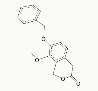 COc1c(OCc2ccccc2)ccc2c1COC(=O)C2